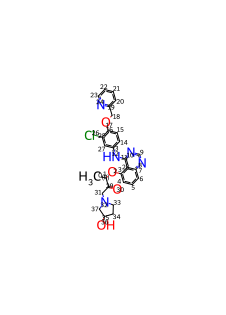 C[C@@H](Oc1cccc2ncnc(Nc3ccc(OCc4ccccn4)c(Cl)c3)c12)C(=O)CN1CCC(O)C1